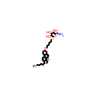 CC(C)CCC[C@@H](C)[C@H]1CC[C@H]2[C@@H]3CC=C4CC(OCCCCCCSC5O[C@H](CN)[C@@H](O)[C@H](O)[C@@H]5O)CC[C@]4(C)[C@H]3CC[C@]12C